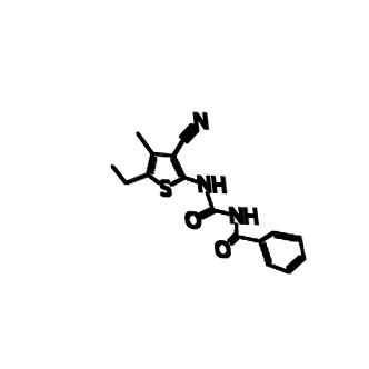 CCc1sc(NC(=O)NC(=O)c2ccccc2)c(C#N)c1C